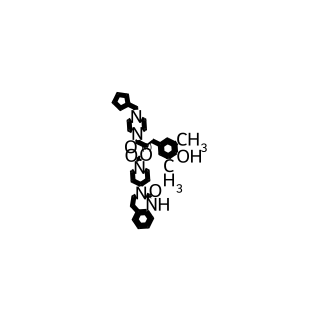 Cc1cc(C[C@@H](OC(=O)N2CCC(N3CCc4ccccc4NC3=O)CC2)C(=O)N2CCN(CC3CCCC3)CC2)cc(C)c1O